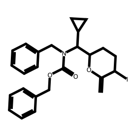 C=C1OC(C(C2CC2)N(Cc2ccccc2)C(=O)OCc2ccccc2)CCC1I